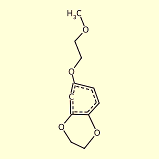 COCCOc1ccc2c(c1)OCCO2